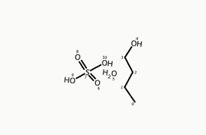 CCCCO.O.O=S(=O)(O)O